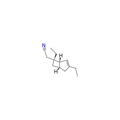 CCC1=C[C@@H]2[C@H](C1)C[C@]2(CC)CC#N